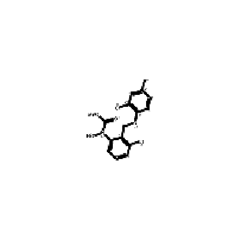 CCc1cccc(N(O)C(=O)OC)c1COc1ccc(C)cc1Cl